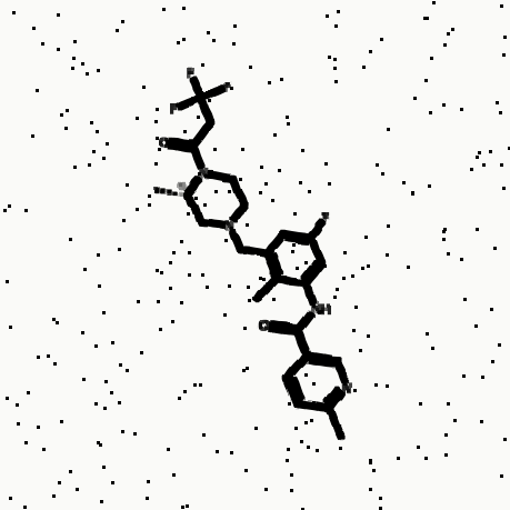 Cc1ccc(C(=O)Nc2cc(F)cc(CN3CCN(C(=O)CC(F)(F)F)[C@@H](C)C3)c2C)cn1